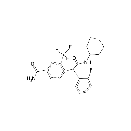 NC(=O)c1ccc(C(C(=O)NC2CCCCC2)c2ccccc2F)c(C(F)(F)F)c1